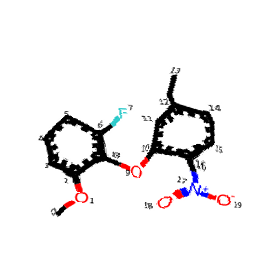 COc1cccc(F)c1Oc1cc(C)ccc1[N+](=O)[O-]